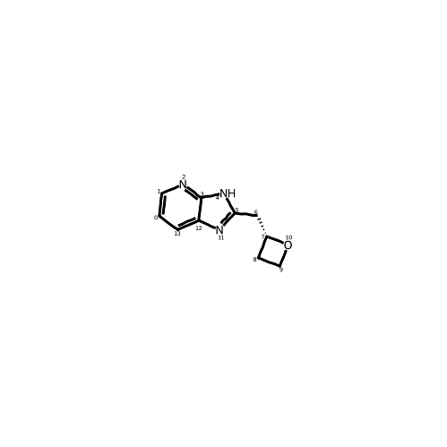 c1cnc2[nH]c(C[C@H]3CCO3)nc2c1